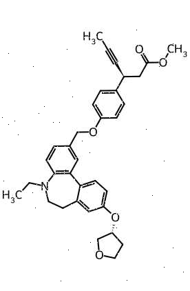 CC#C[C@@H](CC(=O)OC)c1ccc(OCc2ccc3c(c2)-c2ccc(O[C@@H]4CCOC4)cc2CCN3CC)cc1